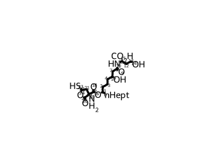 CCCCCCCC(CCCC(O)CC(=O)N[C@@H](CCO)C(=O)O)OC(=O)[C@]1(N)CC(S)OC1=O